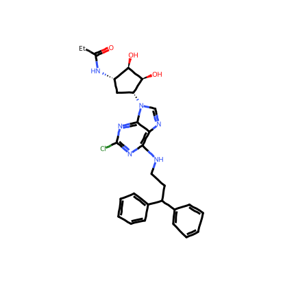 CCC(=O)N[C@H]1C[C@@H](n2cnc3c(NCCC(c4ccccc4)c4ccccc4)nc(Cl)nc32)[C@H](O)[C@@H]1O